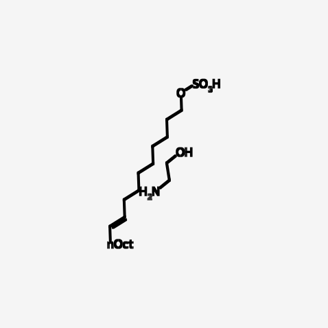 CCCCCCCCC=CCCCCCCCCOS(=O)(=O)O.NCCO